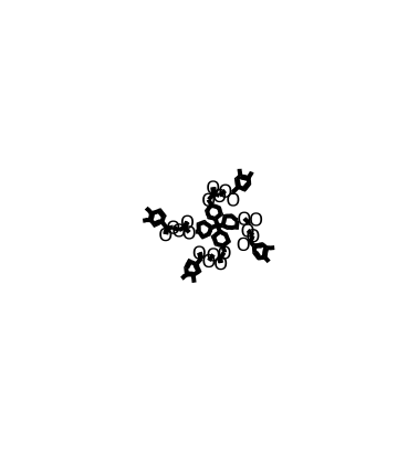 Cc1ccc(C(=O)OOC(=O)OC2CCC(C(C3CCC(OC(=O)OOC(=O)c4ccc(C)c(C)c4)CC3)(C3CCC(OC(=O)OOC(=O)c4ccc(C)c(C)c4)CC3)C3CCC(OC(=O)OOC(=O)c4ccc(C)c(C)c4)CC3)CC2)cc1C